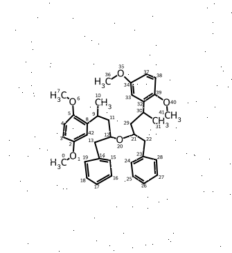 COc1ccc(OC)c(C(C)CC(Cc2ccccc2)OC(Cc2ccccc2)CC(C)c2cc(OC)ccc2OC)c1